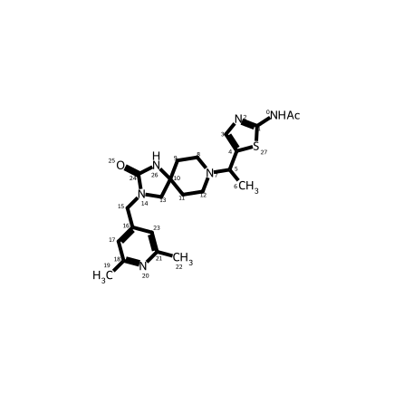 CC(=O)Nc1ncc(C(C)N2CCC3(CC2)CN(Cc2cc(C)nc(C)c2)C(=O)N3)s1